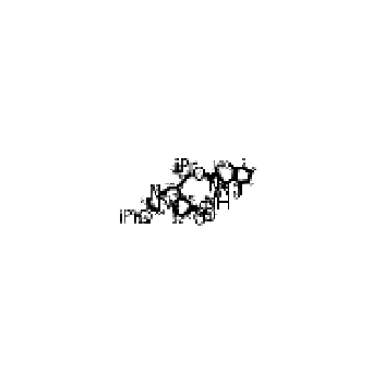 Cc1cccc(C)c1-c1nc2nc(c1C)OC[C@@H](CC(C)C)C(Cc1ncc(OC(C)C)cn1)c1cccc(c1)S(=O)(=O)N2